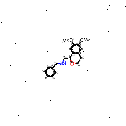 COc1cc2c(cc1OC)C(CNCc1ccccc1)OCC2